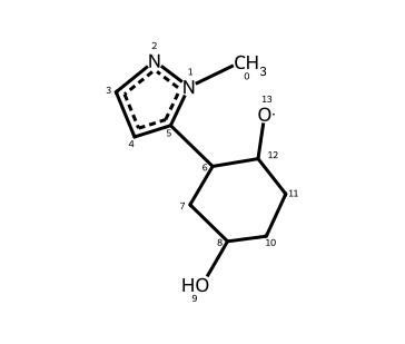 Cn1nccc1C1CC(O)CCC1[O]